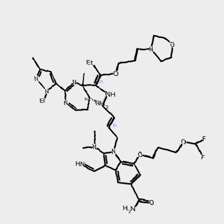 CC/C(OCCCN1CCOCC1)=C(/NC/C=C/Cn1c(N(C)C)c(C=N)c2cc(C(N)=O)cc(OCCCOC(F)F)c21)C1(C)N=C(c2cc(C)nn2CC)N=CC[C@H]1N